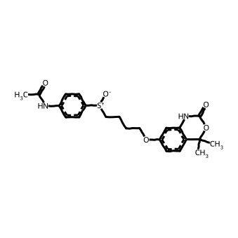 CC(=O)Nc1ccc([S+]([O-])CCCCOc2ccc3c(c2)NC(=O)OC3(C)C)cc1